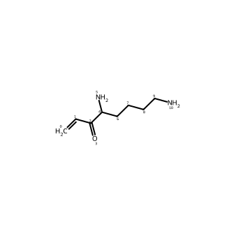 C=CC(=O)C(N)CCCCN